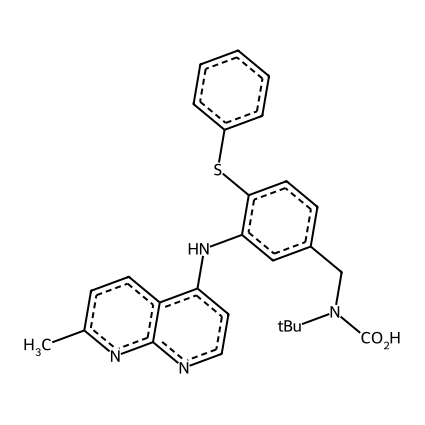 Cc1ccc2c(Nc3cc(CN(C(=O)O)C(C)(C)C)ccc3Sc3ccccc3)ccnc2n1